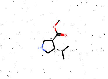 COC(=O)[C@@H]1CNC[C@H]1C(C)C